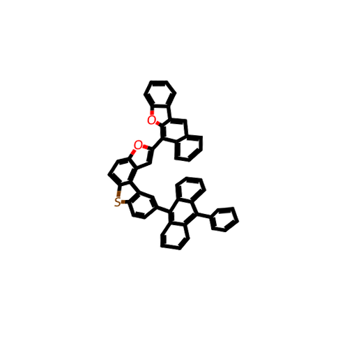 c1ccc(-c2c3ccccc3c(-c3ccc4sc5ccc6oc(-c7c8ccccc8cc8c7oc7ccccc78)cc6c5c4c3)c3ccccc23)cc1